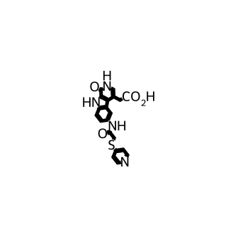 O=C(O)Cc1c[nH]c(=O)c2[nH]c3ccc(NC(=O)CSc4ccncc4)cc3c12